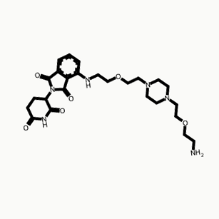 NCCOCCN1CCN(CCOCCNc2cccc3c2C(=O)N(C2CCC(=O)NC2=O)C3=O)CC1